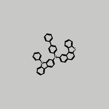 c1ccc(-c2ccc(N(c3ccc4ccc5sc6ccccc6c5c4c3)c3ccc4c5ccccc5n(-c5ccccc5)c4c3)cc2)cc1